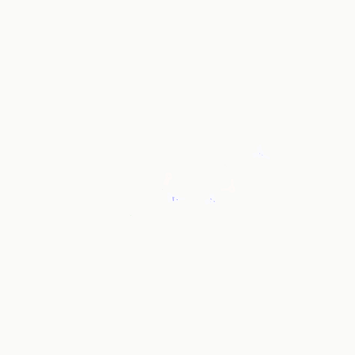 Cn1c(C(=O)O)cc2ccc(Oc3ccc(NC(=O)c4ccc(Cl)c(Cl)c4)cn3)cc21